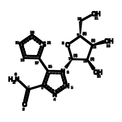 NC(=O)c1nnn([C@@H]2O[C@H](CO)[C@@H](O)[C@H]2O)c1-c1cccs1